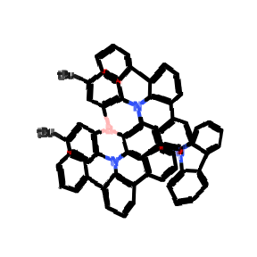 CC(C)(C)c1ccc2c(c1)B1c3cc(C(C)(C)C)ccc3N(c3c(-c4ccccc4)cccc3-c3ccccc3)c3cc(-n4c5ccccc5c5ccccc54)cc(c31)N2c1c(-c2ccccc2)cccc1-c1ccccc1